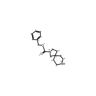 O=C(OCc1ccccc1)N1CCC2(CCNCC2)C1